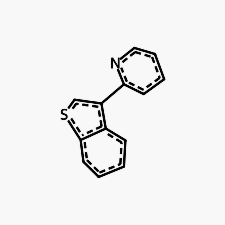 c1ccc(-c2csc3ccccc23)nc1